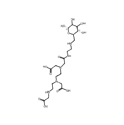 O=C(O)CNCCN(CCN(CC(=O)O)CC(=O)NCCNCC1O[C@H](O)C(O)C(O)[C@@H]1O)CC(=O)O